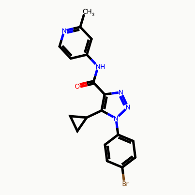 Cc1cc(NC(=O)c2nnn(-c3ccc(Br)cc3)c2C2CC2)ccn1